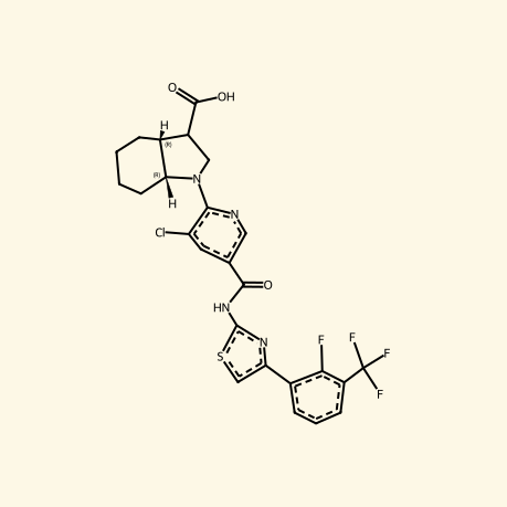 O=C(Nc1nc(-c2cccc(C(F)(F)F)c2F)cs1)c1cnc(N2CC(C(=O)O)[C@H]3CCCC[C@H]32)c(Cl)c1